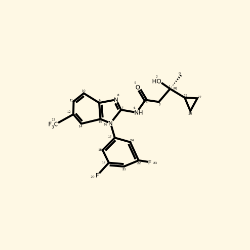 C[C@@](O)(CC(=O)Nc1nc2ccc(C(F)(F)F)cc2n1-c1cc(F)cc(F)c1)C1CC1